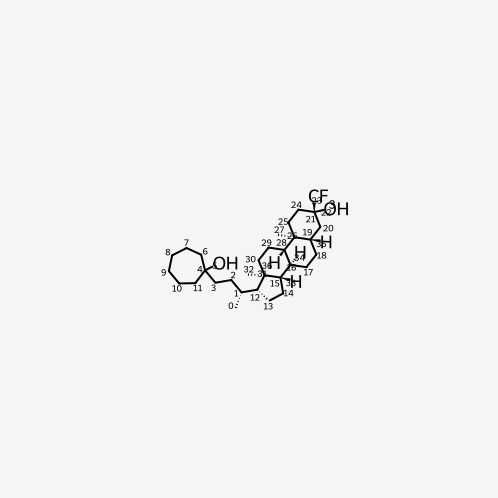 C[C@H](CCC1(O)CCCCCC1)[C@H]1CC[C@H]2[C@@H]3CC[C@H]4C[C@](O)(C(F)(F)F)CC[C@]4(C)[C@H]3CC[C@]12C